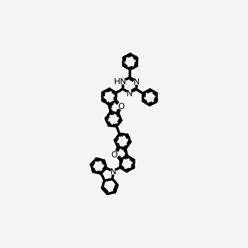 C1=CC2c3ccccc3N(c3cccc4c3oc3cc(-c5ccc6c(c5)oc5c(C7N=C(c8ccccc8)N=C(c8ccccc8)N7)cccc56)ccc34)C2C=C1